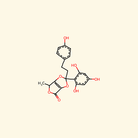 CC1OC(=O)C2=C1OC(CCc1ccc(O)cc1)(c1c(O)cc(O)cc1O)O2